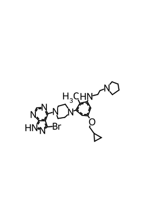 Cc1c(NCCN2CCCC2)cc(OCC2CC2)cc1N1CCN(c2ncnc3[nH]nc(Br)c23)CC1